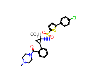 CN1CCN(C(=O)c2ccccc2C2CC2(NS(=O)(=O)c2ccc(-c3ccc(Cl)cc3)s2)C(=O)O)CC1